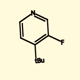 CC(C)(C)c1ccncc1F